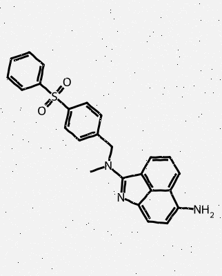 CN(Cc1ccc(S(=O)(=O)c2ccccc2)cc1)C1=Nc2ccc(N)c3cccc1c23